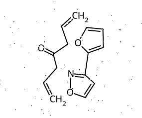 C=CCC(=O)CC=C.c1coc(-c2ccon2)c1